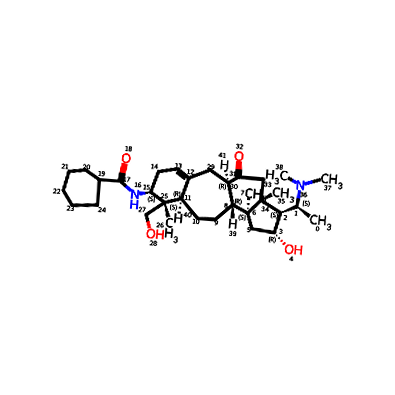 C[C@@H]([C@H]1[C@H](O)C[C@@]2(C)[C@@H]3CC[C@@H]4C(=CC[C@H](NC(=O)C5CCCCC5)[C@@]4(C)CO)C[C@H]3C(=O)C[C@]12C)N(C)C